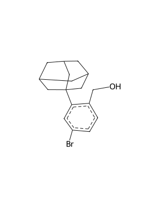 OCc1ccc(Br)cc1C12CC3CC(CC(C3)C1)C2